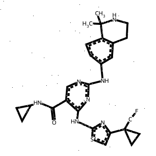 CC1(C)NCCc2cc(Nc3ncc(C(=O)NC4CC4)c(Nc4nc(C5(CF)CC5)cs4)n3)ccc21